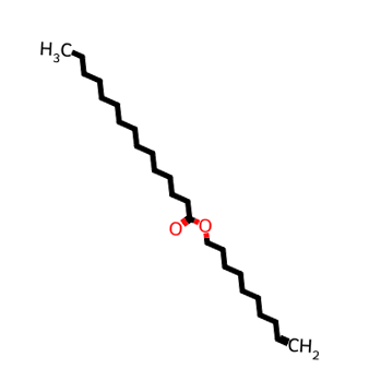 C=CCCCCCCCCOC(=O)CCCCCCCCCCCCCC